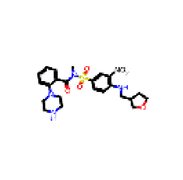 CN(C(=O)c1ccccc1N1CCNCC1)S(=O)(=O)c1ccc(NCC2CCOC2)c([N+](=O)[O-])c1